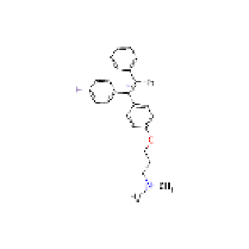 CC/C(=C(/c1ccc(I)cc1)c1ccc(OCCCN(C)C)cc1)c1ccccc1